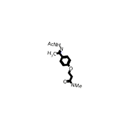 CNC(=O)CCOc1ccc(/C(C)=N/NC(C)=O)cc1